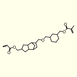 C=CC(=O)OCC1CC2C3CC(COCC4CCCC(COC(=O)C(=C)C)C4)C(C3)C2C1